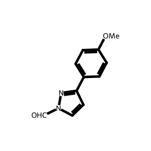 COc1ccc(-c2ccn(C=O)n2)cc1